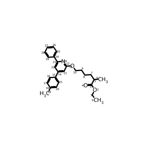 CCOC(=O)C(C)CCCCOc1cc(-c2ccc(C)cc2)cc(-c2ccccc2)n1